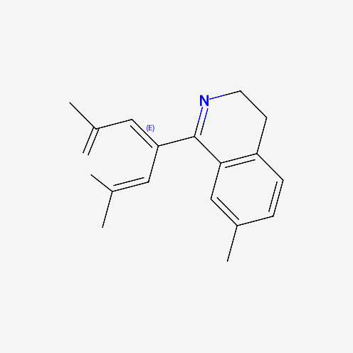 C=C(C)/C=C(\C=C(C)C)C1=NCCc2ccc(C)cc21